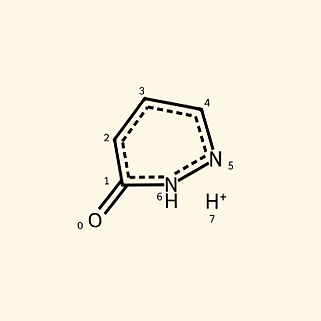 O=c1cccn[nH]1.[H+]